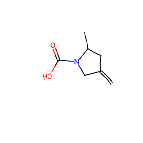 C=C1CC(C)N(C(=O)O)C1